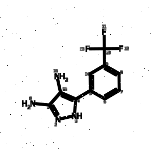 Nc1n[nH]c(-c2cccc(C(F)(F)F)c2)c1N